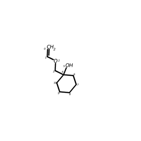 C=COCC1(O)CCCCC1